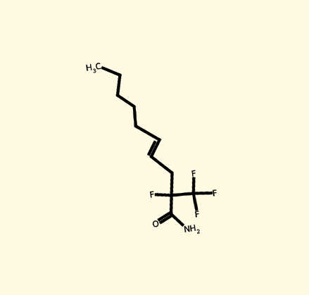 CCCCC/C=C/CC(F)(C(N)=O)C(F)(F)F